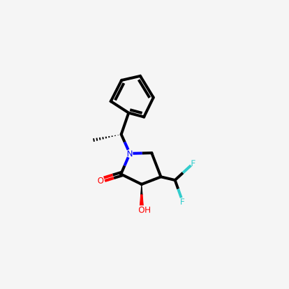 C[C@H](c1ccccc1)N1CC(C(F)F)[C@@H](O)C1=O